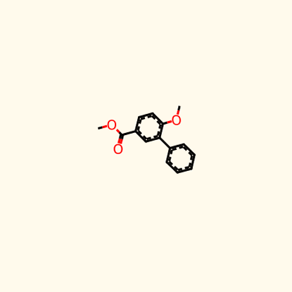 COC(=O)c1ccc(OC)c(-c2ccccc2)c1